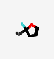 O=[N+]([O-])C1(F)CC=CO1